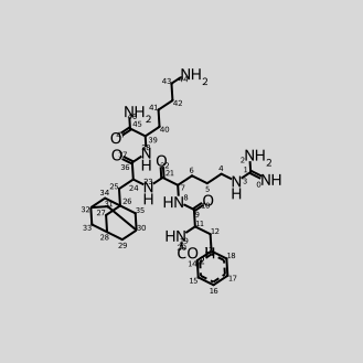 N=C(N)NCCCC(NC(=O)C(Cc1ccccc1)NC(=O)O)C(=O)NC(CC12CC3CC(CC(C3)C1)C2)C(=O)NC(CCCCN)C(N)=O